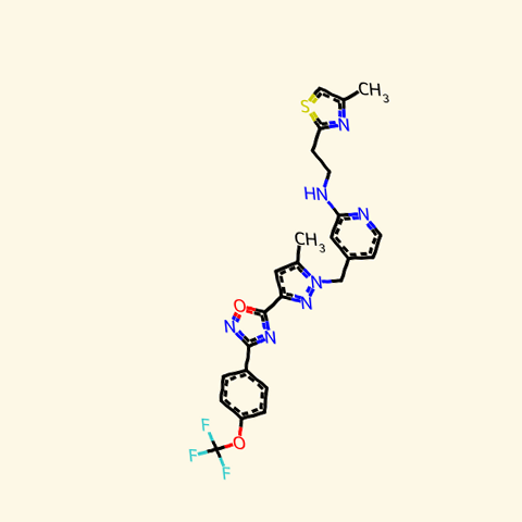 Cc1csc(CCNc2cc(Cn3nc(-c4nc(-c5ccc(OC(F)(F)F)cc5)no4)cc3C)ccn2)n1